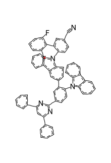 N#Cc1ccc(-n2c3ccccc3c3cc(-c4cc(-c5nc(-c6ccccc6)cc(-c6ccccc6)n5)ccc4-n4c5ccccc5c5ccccc54)ccc32)c(-c2c(F)cccc2F)c1